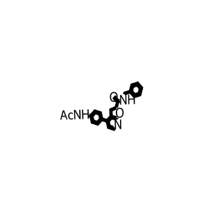 CC(=O)Nc1ccc(-c2ccnc3c2CC(C(=O)NCc2ccccc2)O3)cc1